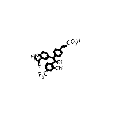 CCC(=C(c1ccc(C=CC(=O)O)cc1)c1ccc2[nH]nc(F)c2c1)c1ccc(C(F)(F)F)cc1C#N